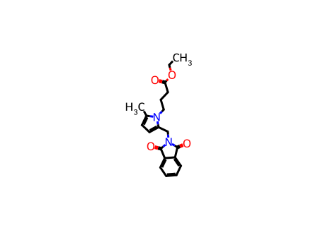 CCOC(=O)CCCn1c(C)ccc1CN1C(=O)c2ccccc2C1=O